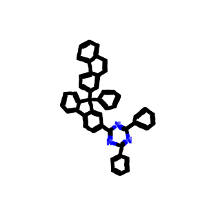 c1ccc(-c2nc(-c3ccccc3)nc(-c3ccc4c(c3)C(c3ccccc3)(c3ccc5c(ccc6ccccc65)c3)c3ccccc3-4)n2)cc1